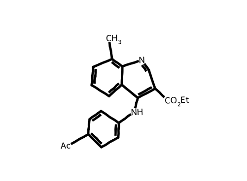 CCOC(=O)c1cnc2c(C)cccc2c1Nc1ccc(C(C)=O)cc1